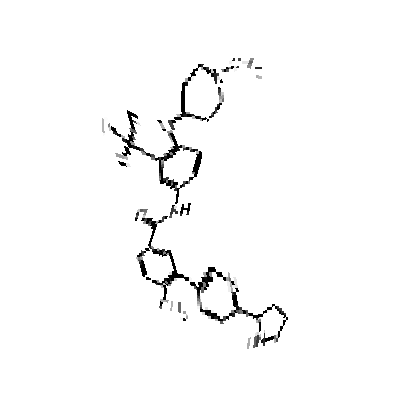 Cc1ccc(C(=O)Nc2ccc(OC3CCN(C)CC3)c(C(F)(F)F)c2)cc1-c1ccc(C2CCCN2)nc1